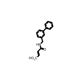 O=C(O)/C=C/C(=O)NCc1cccc(-c2ccccc2)c1